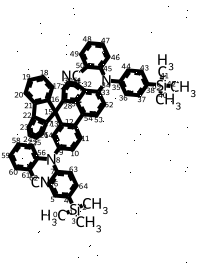 C[Si](C)(C)c1ccc(N(c2ccc3c(c2)C2(c4ccccc4-c4ccccc42)c2cccc4c(N(c5ccc([Si](C)(C)C)cc5)c5ccccc5C#N)ccc-3c24)c2ccccc2C#N)cc1